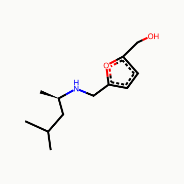 CC(C)C[C@@H](C)NCc1ccc(CO)o1